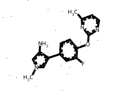 Cc1ccnc(Oc2ccc(-c3cn(C)cc3N)cc2F)n1